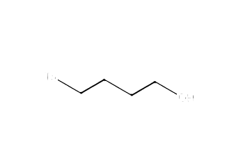 OCCC[CH2][Ta]